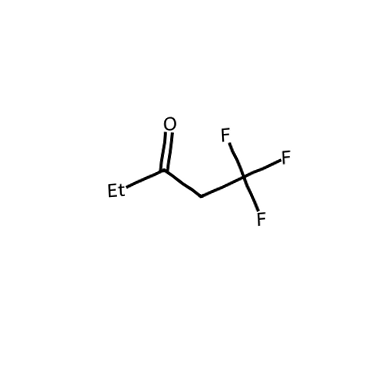 CCC(=O)CC(F)(F)F